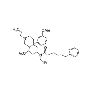 C=CCN1CCC2(c3cccc(OC)c3)CC(N(CC(C)C)C(=O)CCCCCc3ccccc3)CC(OC(C)=O)C2C1